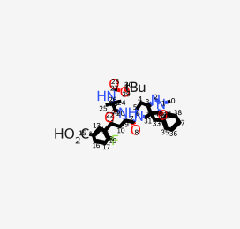 CN1N=C2CCN(C(=O)C(CCc3cc(C(=O)O)ccc3F)NC(=O)C(C)(C)NC(=O)OC(C)(C)C)CC2(Cc2ccccc2)C1=O